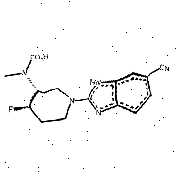 CN(C(=O)O)[C@@H]1CN(c2nc3ccc(C#N)cc3[nH]2)CC[C@H]1F